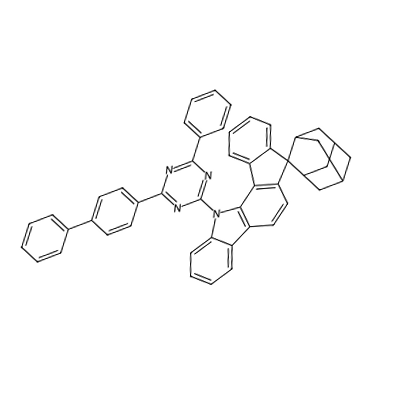 c1ccc(-c2ccc(-c3nc(-c4ccccc4)nc(-n4c5ccccc5c5ccc6c(c54)-c4ccccc4C64C5CC6CC(C5)CC4C6)n3)cc2)cc1